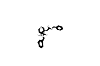 B[C@@H]1O[C@@]2(CC(=O)OCc3ccccc3)COCC1C2C(=O)OCc1ccccc1